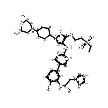 CCS(=O)(=O)CCOc1nn(C2CCC(N3C[C@@H](C)O[C@@H](C)C3)CC2)cc1Nc1ncc(-c2ccc(Cl)c(O[C@@H](C)Cn3cncn3)c2)cn1